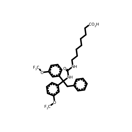 O=C(O)CCCCCCCNC(=O)NC(Cc1ccccc1)(c1cccc(OC(F)(F)F)c1)c1cccc(OC(F)(F)F)c1